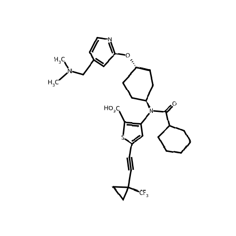 CN(C)Cc1ccnc(O[C@H]2CC[C@H](N(C(=O)C3CCCCC3)c3cc(C#CC4(C(F)(F)F)CC4)sc3C(=O)O)CC2)c1